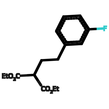 CCOC(=O)C(CCc1cccc(F)c1)C(=O)OCC